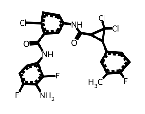 Cc1cc(C2C(C(=O)Nc3ccc(Cl)c(C(=O)Nc4ccc(F)c(N)c4F)c3)C2(Cl)Cl)ccc1F